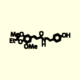 CCC(=O)Oc1c(OC)cc(/C=C/C(=O)NCCc2ccc(O)cc2)cc1OC